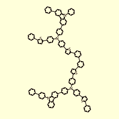 c1ccc(-c2ccc(-n3c4ccccc4c4cc(-c5ccc(N(c6ccc(-c7ccc(-c8ccccc8)s7)cc6)c6ccc(-c7ccc(-c8cccc(-c9cccc(-c%10ccc(-c%11ccc(N(c%12ccc(-c%13ccc%14c(c%13)c%13cc(-c%15ccccc%15)ccc%13n%14-c%13ccccc%13)cc%12)c%12ccc(-c%13ccc(-c%14ccccc%14)s%13)cc%12)cc%11)s%10)c9)c8)s7)cc6)cc5)ccc43)cc2)cc1